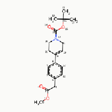 COC(=O)Cc1ccc(C2=CCN(C(=O)OC(C)(C)C)CC2)cc1